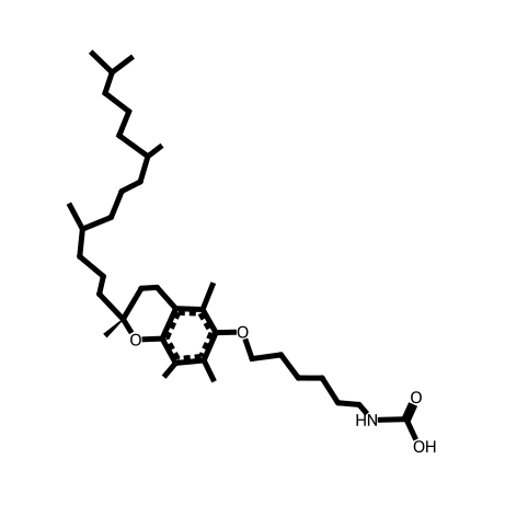 Cc1c(C)c2c(c(C)c1OCCCCCCNC(=O)O)CC[C@@](C)(CCCC(C)CCCC(C)CCCC(C)C)O2